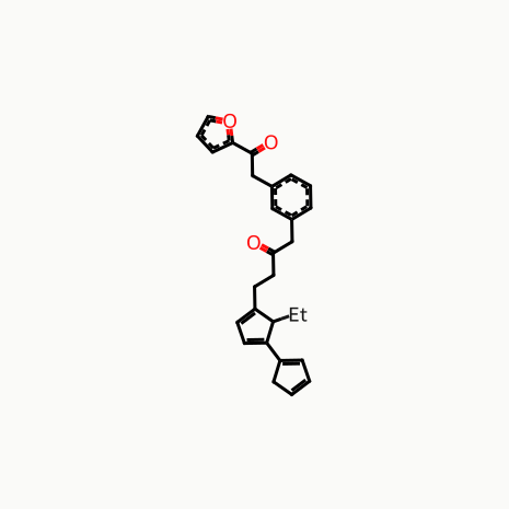 CCC1C(CCC(=O)Cc2cccc(CC(=O)c3ccco3)c2)=CC=C1C1=CC=CC1